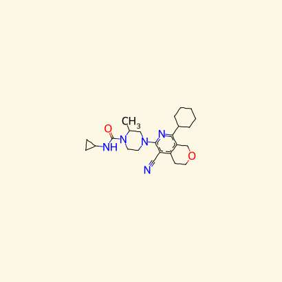 CC1CN(c2nc(C3CCCCC3)c3c(c2C#N)CCOC3)CCN1C(=O)NC1CC1